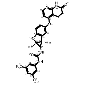 O=C1CCc2c(Oc3ccc4c(c3)[C@H]3[C@H](NC(=O)Nc5cc(C(F)(F)F)cc(C(F)(F)F)c5)[C@H]3O4)ccnc2N1